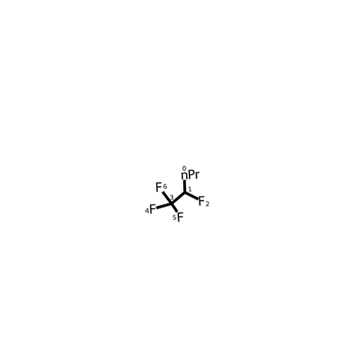 CCCC(F)C(F)(F)F